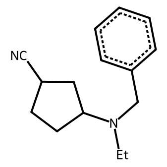 CCN(Cc1ccccc1)C1CCC(C#N)C1